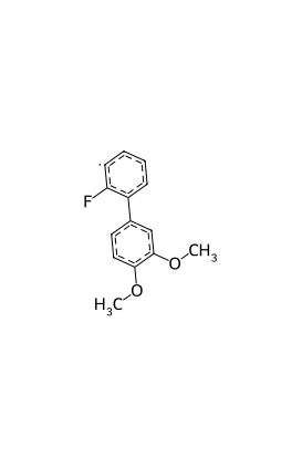 COc1ccc(-c2ccc[c]c2F)cc1OC